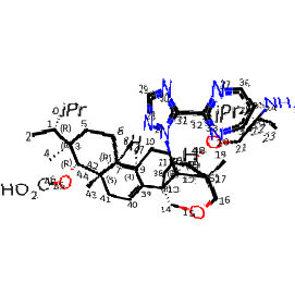 CC(C)[C@@H](C)[C@@]1(C)CC[C@]2(C)[C@H]3CC[C@@H]4[C@@]5(COC[C@@]4(C)[C@@H](OC[C@](C)(N)C(C)C)[C@H](n4ncnc4-c4ncccn4)C5)C3=CC[C@]2(C)[C@@H]1OC(=O)O